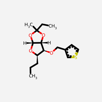 CCC[C@H]1O[C@@H]2OC(C)(CC)O[C@@H]2[C@H]1OCc1ccsc1